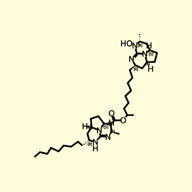 CCCCCCCCC[C@@H]1C[C@@H]2CC[C@H]3[C@@H](C(=O)OC(C)CCCCCCC[C@@H]4C[C@@H]5CC[C@H]6C[C@@H](C)N(O)C(=N4)N56)[C@@H](C)N=C(N1)N23